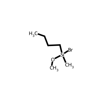 CCCC[Si](C)(Br)OC